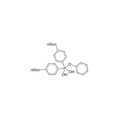 CCCCCCCCCc1ccc(P(O)(O)(Oc2ccccc2)c2ccc(CCCCCCCCC)cc2)cc1